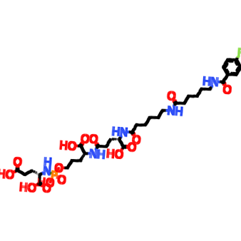 O=C(O)CC[C@H](NP(=O)(O)OCCC[C@H](NC(=O)CC[C@H](NC(=O)CCCCCNC(=O)CCCCCNC(=O)c1ccc(F)cc1)C(=O)O)C(=O)O)C(=O)O